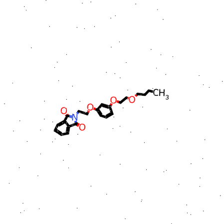 CCCCOCCOc1cccc(OCCN2C(=O)c3ccccc3C2=O)c1